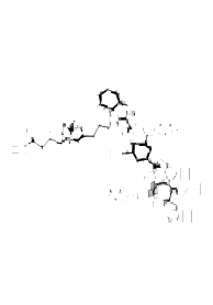 CCC(=O)CCCn1cc(CCCn2c(COc3c(Cl)cc(C(=O)O[C@H]4[C@@H](OC)O[C@H](CO)[C@@H](O)[C@@H]4O)cc3OC)nc3ccccc32)nn1